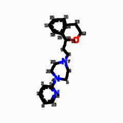 c1ccc(N2CCN(CCC3OCCc4ccccc43)CC2)nc1